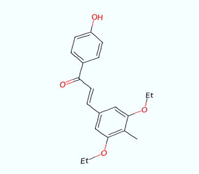 CCOc1cc(/C=C/C(=O)c2ccc(O)cc2)cc(OCC)c1C